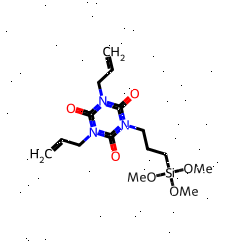 C=CCn1c(=O)n(CC=C)c(=O)n(CCC[Si](OC)(OC)OC)c1=O